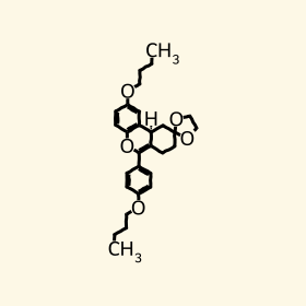 CCCCOc1ccc(C2=C3CCC4(C[C@@H]3c3cc(OCCCC)ccc3O2)OCCO4)cc1